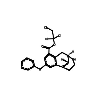 O=C(OC(Cl)(Cl)CCl)c1cc(Oc2ccccc2)cc2c1C[C@H]1NCC[C@@]23CCCC[C@@H]13